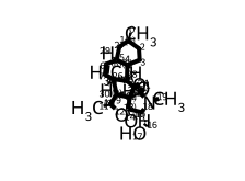 C[C@H]1CC[C@H]2[C@@H](C=C[C@@H]3[C@H]4[C@H](C)O[C@]5(O)[C@@H](CO)N(C)C(=O)[C@]45C(=O)[C@@]32C)C1